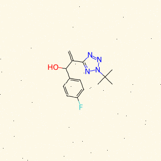 C=C(c1nnn(C(C)(C)C)n1)C(O)c1ccc(F)cc1